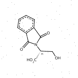 O=C(O)[C@@H](CO)N1C(=O)c2ccccc2C1=O